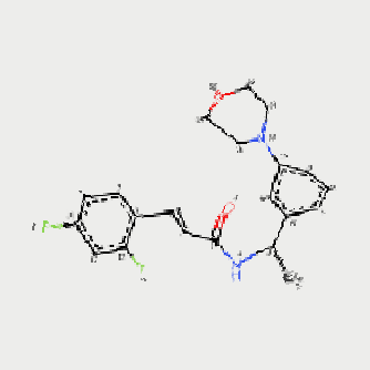 CCC(NC(=O)C=Cc1ccc(F)cc1F)c1cccc(N2CCOCC2)c1